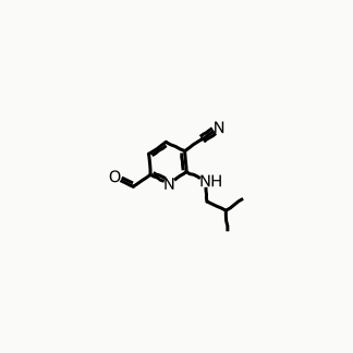 CC(C)CNc1nc(C=O)ccc1C#N